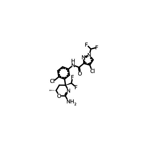 C[C@@H]1C[C@@](c2cc(NC(=O)c3nn(C(F)F)cc3Cl)ccc2Cl)(C(F)F)N=C(N)O1